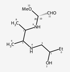 CCC(O)CNC(C)C(C)N[C@@H](C=O)OC